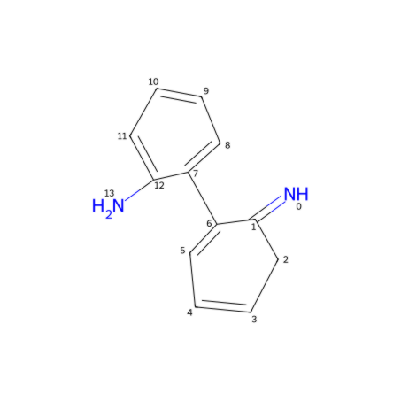 N=C1CC=CC=C1c1ccccc1N